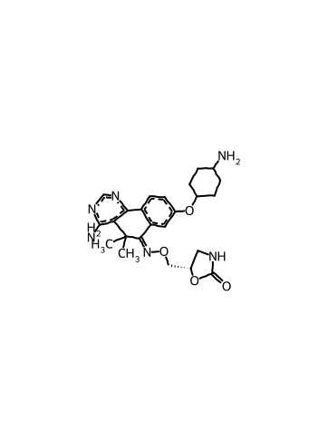 CC1(C)/C(=N/OC[C@@H]2CNC(=O)O2)c2cc(OC3CCC(N)CC3)ccc2-c2ncnc(N)c21